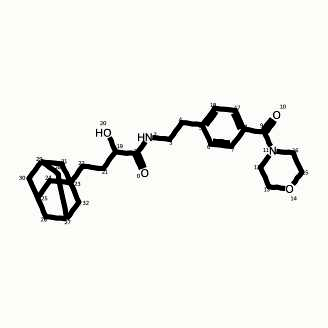 O=C(NCCc1ccc(C(=O)N2CCOCC2)cc1)C(O)CCC12CC3CC(CC(C3)C1)C2